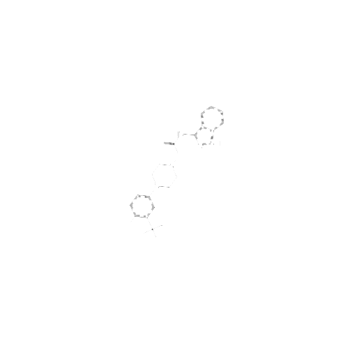 O=C(Nc1n[nH]c2ccccc12)ON1CCN(c2ccc(F)c(C(F)(F)F)c2)CC1